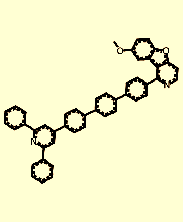 COc1ccc2oc3ccnc(-c4ccc(-c5ccc(-c6ccc(-c7cc(-c8ccccc8)nc(-c8ccccc8)c7)cc6)cc5)cc4)c3c2c1